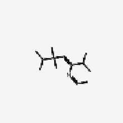 C/C=N\C(=C/C(C)(C)C(C)C)C(C)C